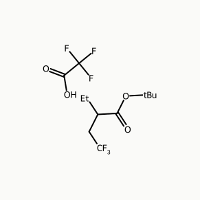 CCC(CC(F)(F)F)C(=O)OC(C)(C)C.O=C(O)C(F)(F)F